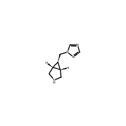 c1ncn(C[C@H]2[C@@H]3CNC[C@@H]32)n1